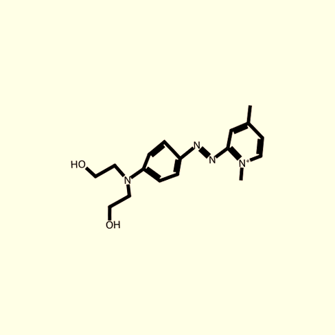 Cc1cc[n+](C)c(N=Nc2ccc(N(CCO)CCO)cc2)c1